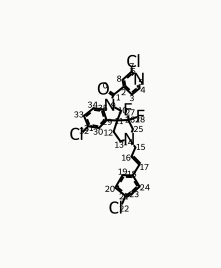 O=C(c1ccnc(Cl)c1)N1CC2(CCN(C/C=C/c3ccc(Cl)cc3)CC2(F)F)c2cc(Cl)ccc21